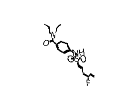 C=C/C(F)=C\C=C\S(=O)(=O)NC1=CC=C(C(=O)N(CCC)CCC)CC1